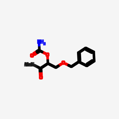 CNC(=O)C(COCc1ccccc1)OC(N)=O